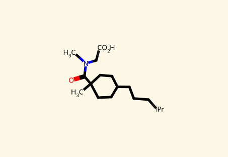 CC(C)CCCC1CCC(C)(C(=O)N(C)CC(=O)O)CC1